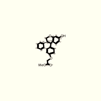 COC(=O)COc1ccc(C2c3ccc(O)cc3OC[C@@H]2c2ccccc2)cc1